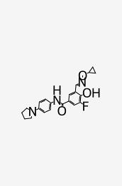 O=C(Nc1ccc(N2CCCC2)cc1)c1cc(F)c(O)c(/C=N/OC2CC2)c1